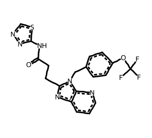 O=C(CCc1nc2cccnc2n1Cc1ccc(OC(F)(F)F)cc1)Nc1nncs1